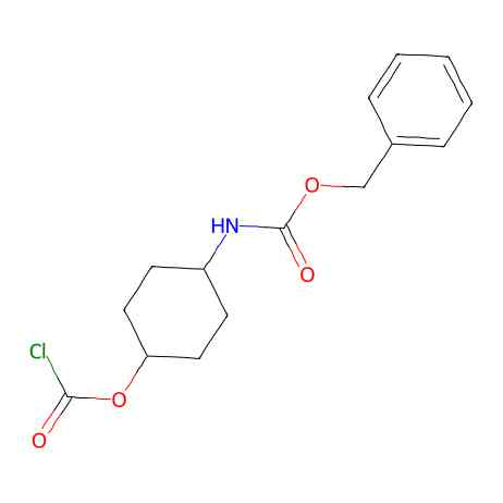 O=C(Cl)OC1CCC(NC(=O)OCc2ccccc2)CC1